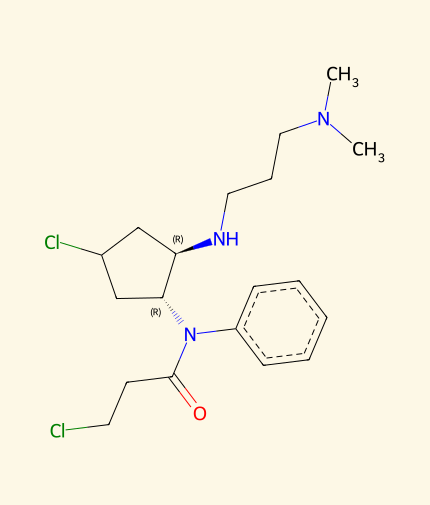 CN(C)CCCN[C@@H]1CC(Cl)C[C@H]1N(C(=O)CCCl)c1ccccc1